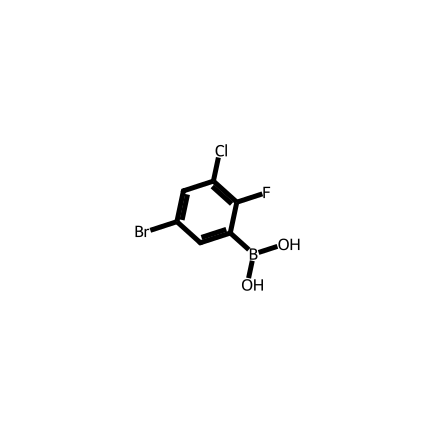 OB(O)c1cc(Br)cc(Cl)c1F